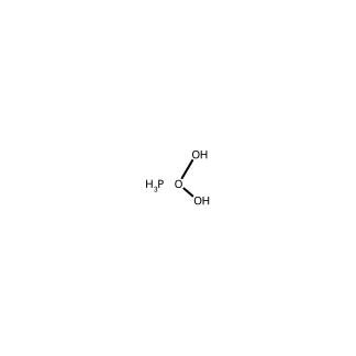 OOO.P